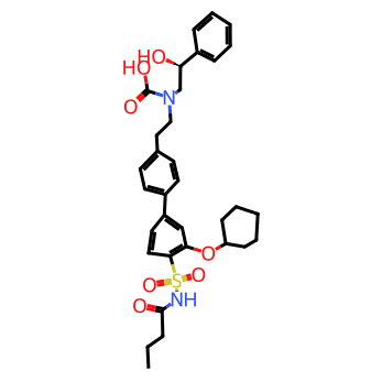 CCCC(=O)NS(=O)(=O)c1ccc(-c2ccc(CCN(C[C@@H](O)c3ccccc3)C(=O)O)cc2)cc1OC1CCCCC1